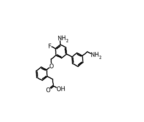 NCc1cccc(-c2cc(N)c(F)c(COc3ccccc3CC(=O)O)c2)c1